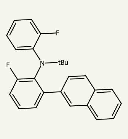 CC(C)(C)N(c1ccccc1F)c1c(F)cccc1-c1ccc2ccccc2c1